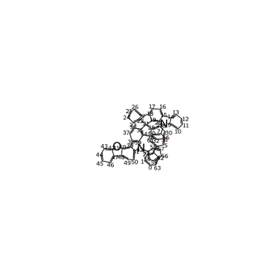 c1ccc(-c2ccc(-n3c4ccccc4c4ccc5c(c43)C3(c4ccccc4-5)c4ccccc4-c4c3ccc3c5c6oc7ccccc7c6ccc5n(-c5ccccc5)c43)cc2)cc1